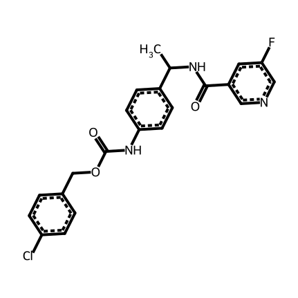 CC(NC(=O)c1cncc(F)c1)c1ccc(NC(=O)OCc2ccc(Cl)cc2)cc1